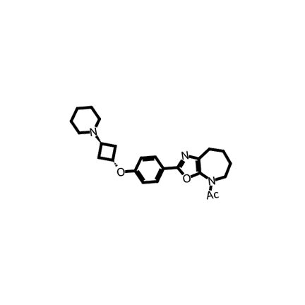 CC(=O)N1CCCCc2nc(-c3ccc(O[C@H]4C[C@H](N5CCCCC5)C4)cc3)oc21